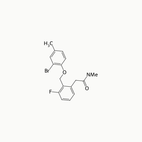 CNC(=O)Cc1cccc(F)c1COc1ccc(C)cc1Br